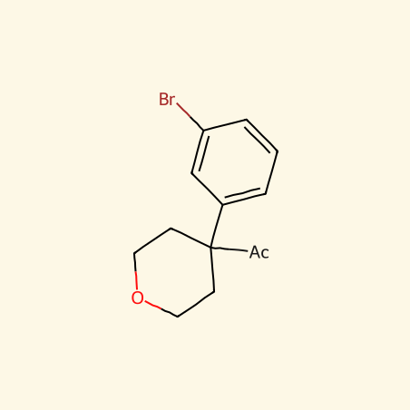 CC(=O)C1(c2cccc(Br)c2)CCOCC1